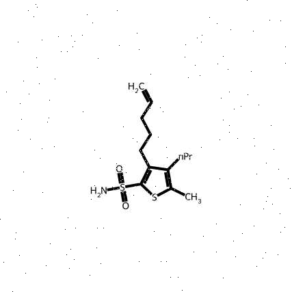 C=CCCCc1c(S(N)(=O)=O)sc(C)c1CCC